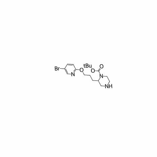 CC(C)(C)OC(=O)N1CCNCC1CCCOc1ccc(Br)cn1